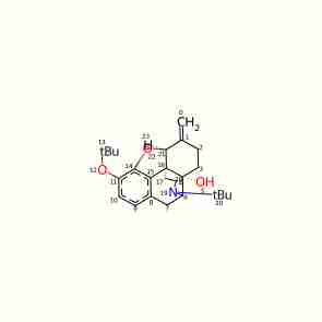 C=C1CC[C@@]2(O)C3Cc4ccc(OC(C)(C)C)c5c4[C@@]2(CCN3C(C)(C)C)[C@H]1O5